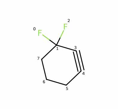 FC1(F)C#CCCC1